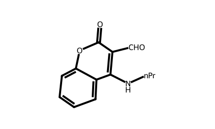 CCCNc1c(C=O)c(=O)oc2ccccc12